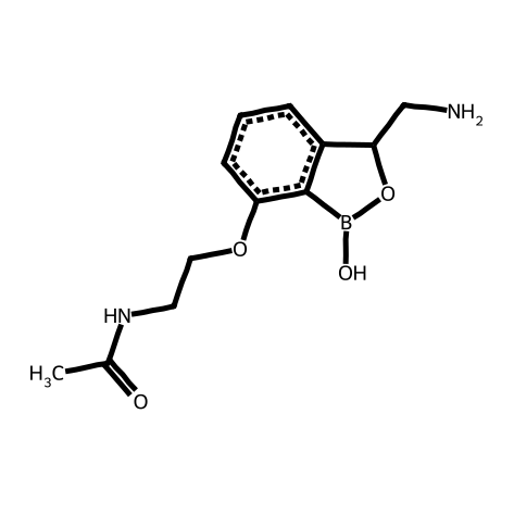 CC(=O)NCCOc1cccc2c1B(O)OC2CN